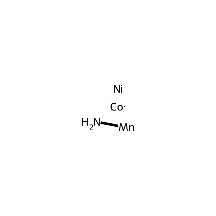 [Co].[NH2][Mn].[Ni]